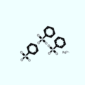 O=S(=O)([O-])c1ccccc1.O=S(=O)([O-])c1ccccc1.O=S(=O)([O-])c1ccccc1.[Pd+3]